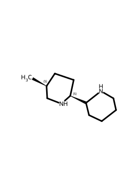 C[C@H]1CC[C@@H](C2CCCCN2)NC1